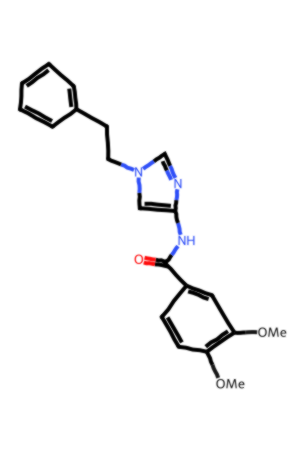 COc1ccc(C(=O)Nc2cn(CCc3ccccc3)cn2)cc1OC